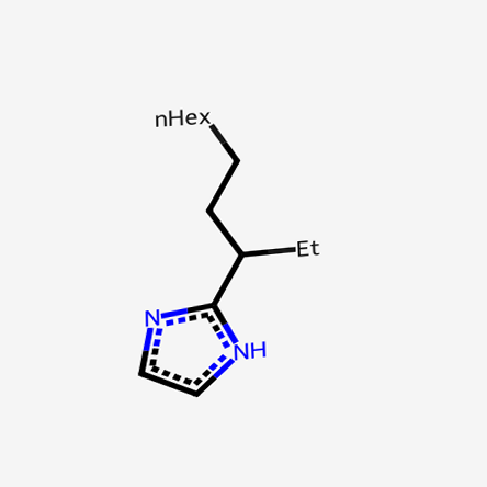 CCCCCCCCC(CC)c1ncc[nH]1